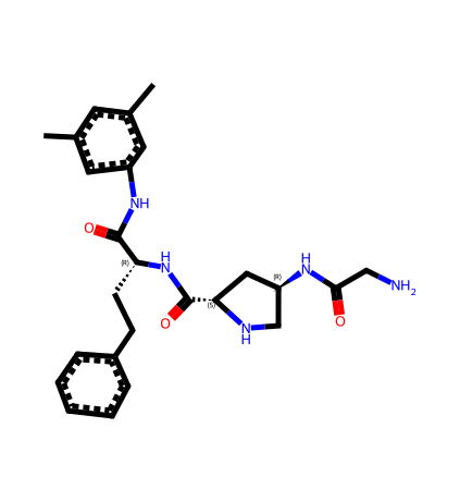 Cc1cc(C)cc(NC(=O)[C@@H](CCc2ccccc2)NC(=O)[C@@H]2C[C@@H](NC(=O)CN)CN2)c1